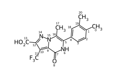 Cc1ccc(-c2[nH]c(=O)c3c(C(F)(F)F)c(C(=O)O)nn3c2C)cc1C